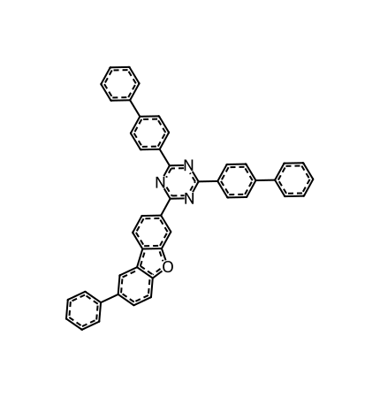 c1ccc(-c2ccc(-c3nc(-c4ccc(-c5ccccc5)cc4)nc(-c4ccc5c(c4)oc4ccc(-c6ccccc6)cc45)n3)cc2)cc1